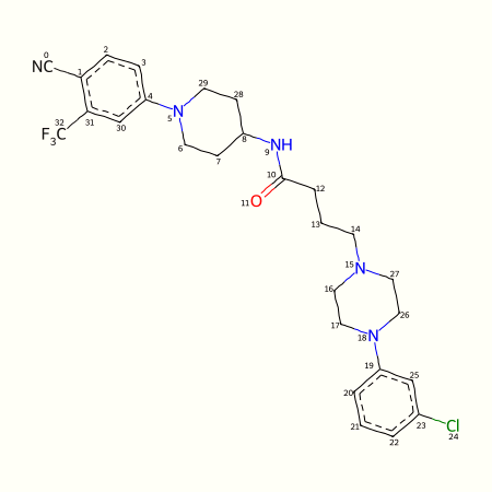 N#Cc1ccc(N2CCC(NC(=O)CCCN3CCN(c4cccc(Cl)c4)CC3)CC2)cc1C(F)(F)F